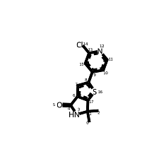 CC1(C)NC(=O)c2cc(-c3ccnc(Cl)c3)sc21